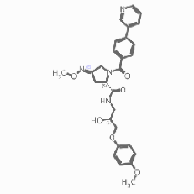 CO/N=C1\C[C@@H](C(=O)NC[C@H](O)COc2ccc(OC)cc2)N(C(=O)c2ccc(-c3cccnc3)cc2)C1